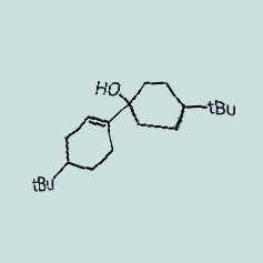 CC(C)(C)C1CC=C(C2(O)CCC(C(C)(C)C)CC2)CC1